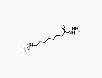 NNCCCCCCCC(=O)NN